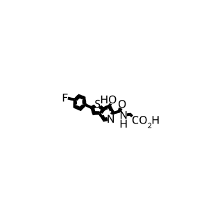 O=C(O)CNC(=O)c1ncc2cc(-c3ccc(F)cc3)sc2c1O